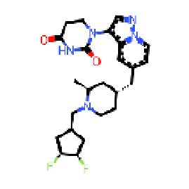 C[C@H]1C[C@H](Cc2ccn3ncc(N4CCC(=O)NC4=O)c3c2)CCN1C[C@H]1C[C@@H](F)[C@@H](F)C1